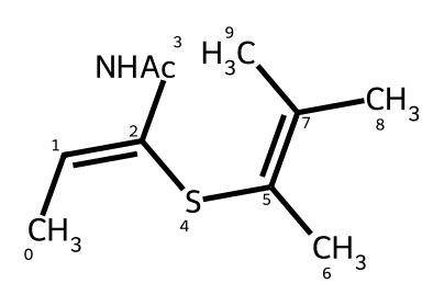 C/C=C(/NC(C)=O)SC(C)=C(C)C